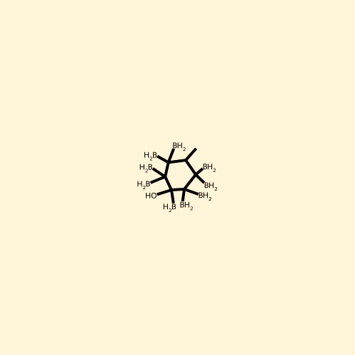 BC1(B)C(C)C(B)(B)C(B)(B)C(B)(O)C1(B)B